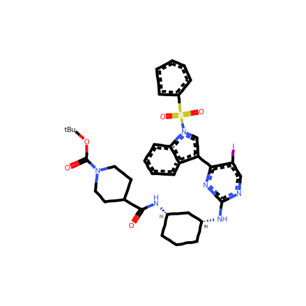 CC(C)(C)OC(=O)N1CCC(C(=O)N[C@H]2CCC[C@@H](Nc3ncc(I)c(-c4cn(S(=O)(=O)c5ccccc5)c5ccccc45)n3)C2)CC1